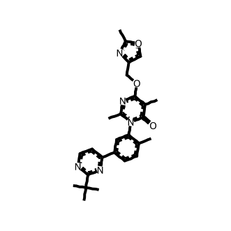 Cc1nc(COc2nc(C)n(-c3cc(-c4ccnc(C(C)(C)C)n4)ccc3C)c(=O)c2C)co1